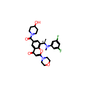 C[C@H](c1cc(C(=O)N2CCC(O)CC2)cc2c(=O)cc(N3CCOCC3)oc12)N(C)c1cc(F)cc(F)c1